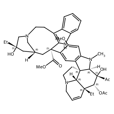 CC[C@]1(O)C[C@@H]2CN(CCc3c([nH]c4ccccc34)[C@@](C(=O)OC)(c3cc4c(cc3OC)N(C)[C@H]3[C@@](O)(C(C)=O)[C@H](OC(C)=O)[C@]5(CC)C=CCN6CC[C@]43[C@@H]65)C2)C1